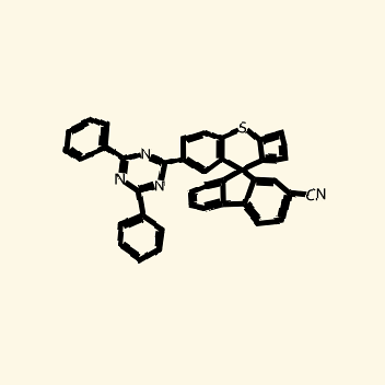 N#Cc1ccc2c(c1)C1(c3ccccc3Sc3ccc(-c4nc(-c5ccccc5)nc(-c5ccccc5)n4)cc31)c1ccccc1-2